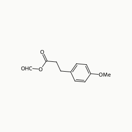 COc1ccc(CCC(=O)OC=O)cc1